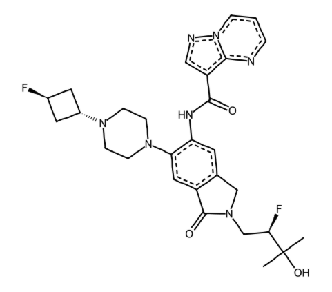 CC(C)(O)[C@H](F)CN1Cc2cc(NC(=O)c3cnn4cccnc34)c(N3CCN([C@H]4C[C@H](F)C4)CC3)cc2C1=O